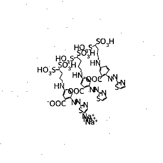 O=C([O-])c1cc(NCCCC(S(=O)(=O)O)S(=O)(=O)O)ccc1N=Nc1nccs1.O=C([O-])c1cc(NCCCC(S(=O)(=O)O)S(=O)(=O)O)ccc1N=Nc1nccs1.O=C([O-])c1cc(NCCCC(S(=O)(=O)O)S(=O)(=O)O)ccc1N=Nc1nccs1.[Na+].[Na+].[Na+]